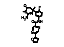 CN1C(=O)CC(C)(c2cc(NC(=O)c3cnc(-c4ccco4)cn3)ccc2F)N=C1N